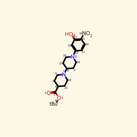 CC(C)(C)OC(=O)C1CCN(C2CCN(c3ccc([N+](=O)[O-])c(O)c3)CC2)CC1